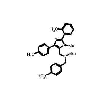 CCCCN(Cc1ccc(C(=O)O)cc1)Cc1c(-c2ccc(C)cc2)nc(-c2ccccc2C)n1CCCC